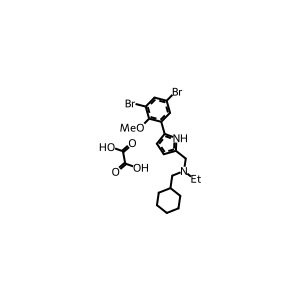 CCN(Cc1ccc(-c2cc(Br)cc(Br)c2OC)[nH]1)CC1CCCCC1.O=C(O)C(=O)O